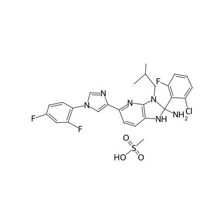 CC(C)CN1c2nc(-c3cn(-c4ccc(F)cc4F)cn3)ccc2NC1(N)c1c(F)cccc1Cl.CS(=O)(=O)O